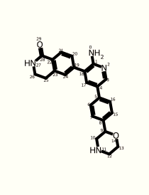 Nc1ncc(-c2ccc(C3CNCCO3)cc2)cc1-c1ccc2c(c1)CCNC2=O